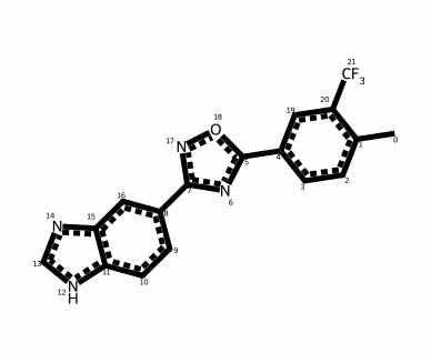 Cc1ccc(-c2nc(-c3ccc4[nH]cnc4c3)no2)cc1C(F)(F)F